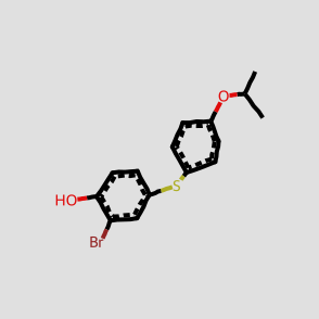 CC(C)Oc1ccc(Sc2ccc(O)c(Br)c2)cc1